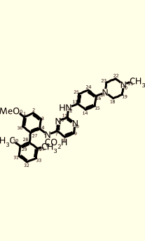 COc1ccc(N(C(=O)O)c2ccnc(Nc3ccc(N4CCN(C)CC4)cc3)n2)c(-c2c(C)cccc2C)c1